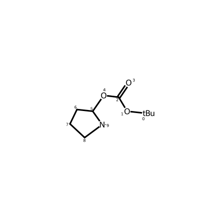 CC(C)(C)OC(=O)OC1CCC[N]1